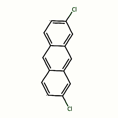 Clc1[c]cc2cc3c[c]c(Cl)cc3cc2c1